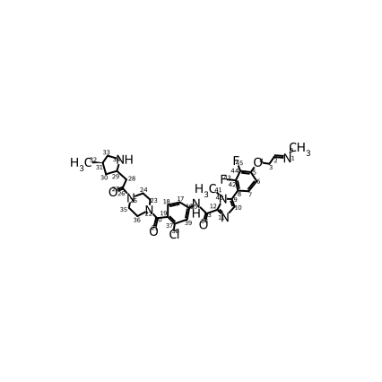 C/N=C/COc1ccc(-c2cnc(C(=O)Nc3ccc(C(=O)N4CCN(C(=O)CC5C[C@@H](C)CN5)CC4)c(Cl)c3)n2C)c(F)c1F